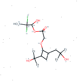 CCC(O)(CC)CC1CC(C(O)(CC)CC)C1OCC(=O)OC(O)C(F)(F)S(=O)(=O)O